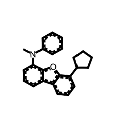 CN(c1ccccc1)c1cccc2c1oc1c(C3CCCC3)cccc12